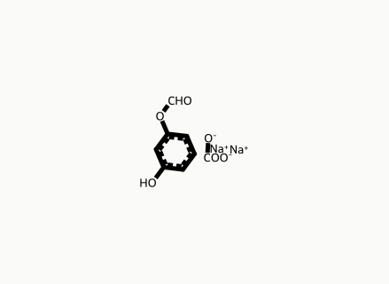 O=C([O-])[O-].O=COc1cccc(O)c1.[Na+].[Na+]